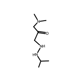 CC(C)NNCC(=O)CN(C)C